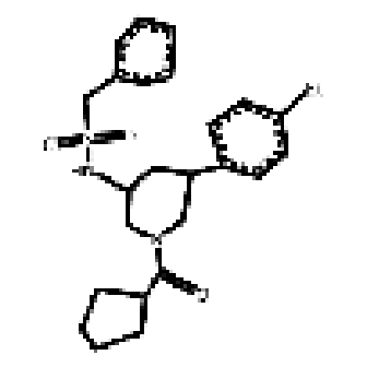 CCc1ccc(C2CC(NS(=O)(=O)Cc3ccccc3)CN(C(=O)C3CCCC3)C2)cc1